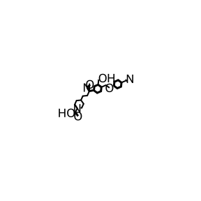 N#Cc1ccc(OCc2ccc3c(CCC4CCN(C(=O)O)CC4)noc3c2CO)cc1